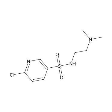 CN(C)CCNS(=O)(=O)c1ccc(Cl)nc1